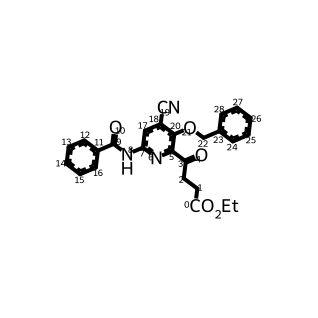 CCOC(=O)CCC(=O)c1nc(NC(=O)c2ccccc2)cc(C#N)c1OCc1ccccc1